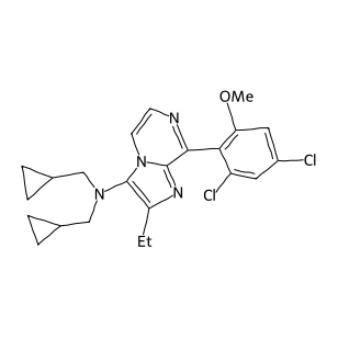 CCc1nc2c(-c3c(Cl)cc(Cl)cc3OC)nccn2c1N(CC1CC1)CC1CC1